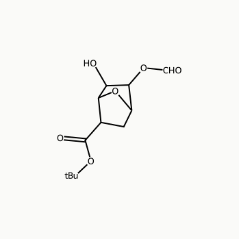 CC(C)(C)OC(=O)C1CC2OC1C(O)C2OC=O